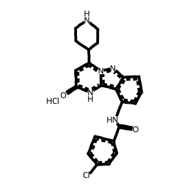 Cl.O=C(Nc1cccc2nn3c(C4CCNCC4)cc(=O)[nH]c3c12)c1ccc(Cl)cc1